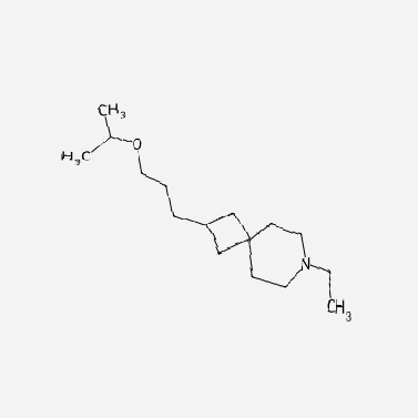 CCN1CCC2(CC1)CC(CCCOC(C)C)C2